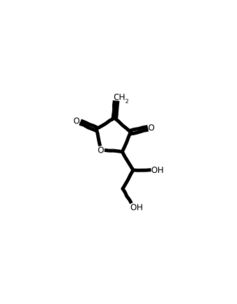 C=C1C(=O)OC(C(O)CO)C1=O